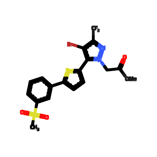 COC(=O)Cn1nc(C(F)(F)F)c(Br)c1-c1ccc(-c2cccc(S(C)(=O)=O)c2)s1